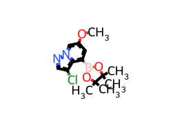 COc1cc(B2OC(C)(C)C(C)(C)O2)c2c(Cl)cnn2c1